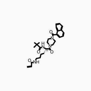 C=CC(=O)NCCCC[C@H](NC(=O)C(C)(C)C)C(=O)N1CCN(C(=O)c2cccc3ccccc23)CC1